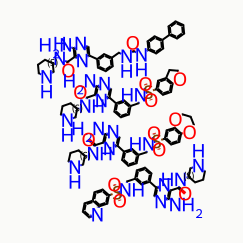 Nc1ncc(-c2cccc(CNC(=O)Nc3ccc(-c4ccccc4)cc3)c2)nc1C(=O)N[C@H]1CCCNC1.Nc1ncc(-c2cccc(CNS(=O)(=O)c3ccc4c(c3)CCO4)c2)nc1C(=O)N[C@H]1CCCNC1.Nc1ncc(-c2cccc(CNS(=O)(=O)c3ccc4c(c3)OCCCO4)c2)nc1C(=O)N[C@H]1CCCNC1.Nc1ncc(-c2cccc(CNS(=O)(=O)c3ccc4cccnc4c3)c2)nc1C(=O)N[C@H]1CCCNC1